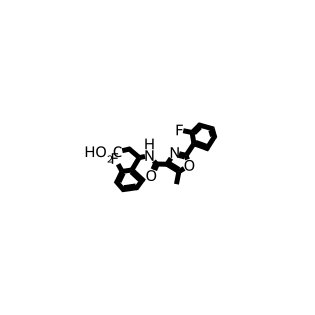 Cc1oc(-c2ccccc2F)nc1C(=O)NC(CC(=O)O)c1ccccc1F